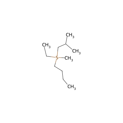 CCCCS(C)(CC)CC(C)C